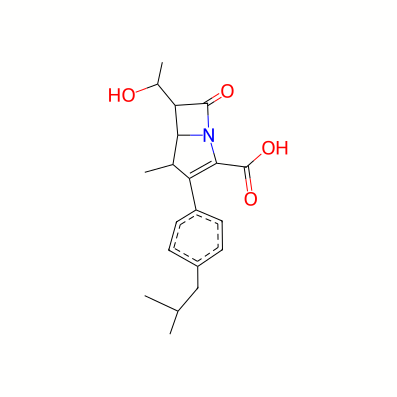 CC(C)Cc1ccc(C2=C(C(=O)O)N3C(=O)C(C(C)O)C3C2C)cc1